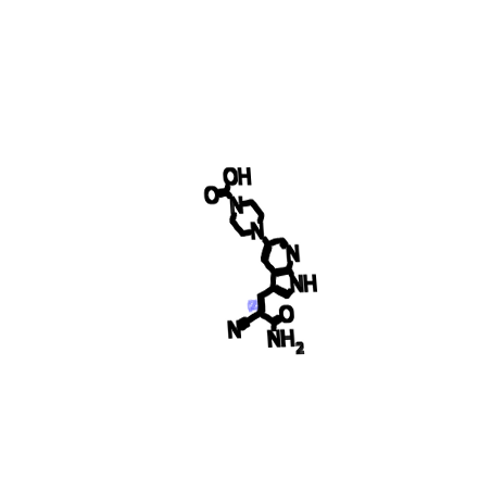 N#C/C(=C/c1c[nH]c2ncc(N3CCN(C(=O)O)CC3)cc12)C(N)=O